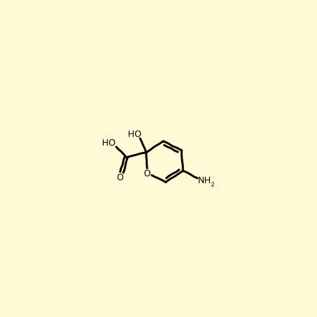 NC1=COC(O)(C(=O)O)C=C1